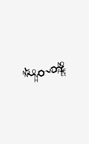 CCC(F)(F)c1conc1C1CCN(CC[C@H]2CC[C@H](NC(=O)Cc3nnc(C)s3)CC2)CC1